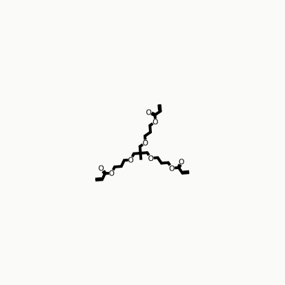 C=CC(=O)OCCCOCC(C)(COCCCOC(=O)C=C)COCCCOC(=O)C=C